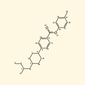 CCC(C)CC1CCC(c2ccc(C(=O)Oc3ccc(C)cc3)cc2)CC1